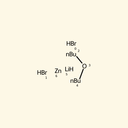 Br.Br.CCCCOCCCC.[LiH].[Zn]